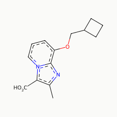 Cc1nc2c(OCC3CCC3)cccn2c1C(=O)O